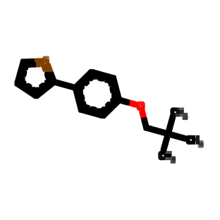 CC(C)(C)COc1ccc(-c2cccs2)cc1